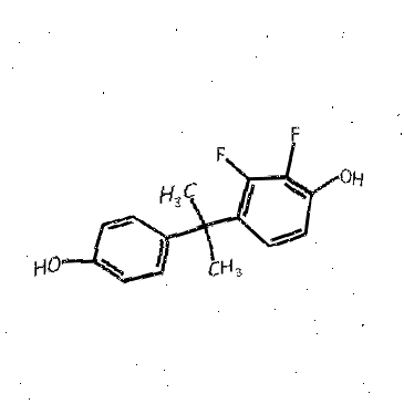 CC(C)(c1ccc(O)cc1)c1ccc(O)c(F)c1F